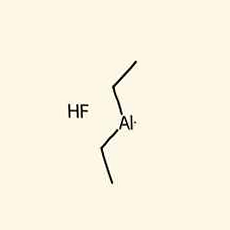 C[CH2][Al][CH2]C.F